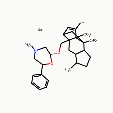 CC(C)C1=CC2CC3(C=O)C4CCC(C)C4CC2(CO[C@H]2CN(C)CC(c4ccccc4)O2)C13C(=O)O.[Na]